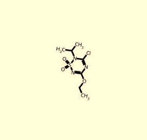 CCOC1=NS(=O)(=O)N(C(C)C)C(Cl)=N1